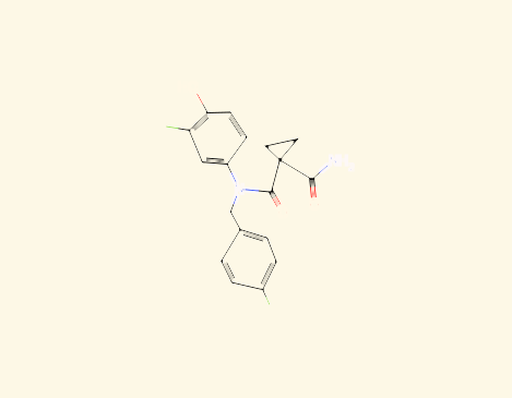 NC(=O)C1(C(=O)N(Cc2ccc(F)cc2)c2ccc(O)c(F)c2)CC1